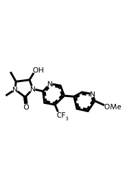 COc1ccc(-c2cnc(N3C(=O)N(C)C(C)C3O)cc2C(F)(F)F)cn1